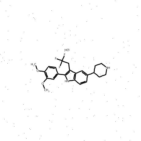 COc1ccc(-c2[nH]c3ccc(C4CCNCC4)cc3c2CC(F)(F)F)cc1OC.Cl